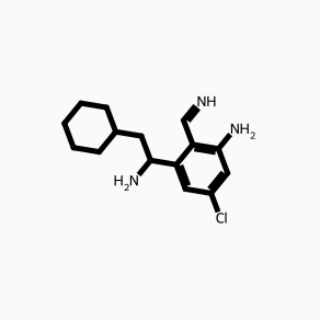 N=Cc1c(N)cc(Cl)cc1C(N)CC1CCCCC1